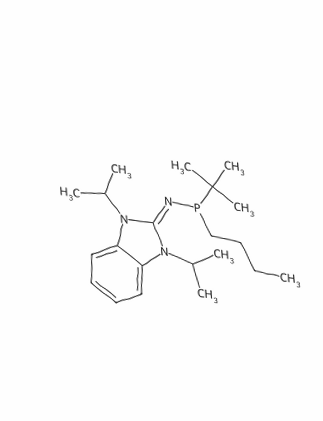 CCCCP(N=c1n(C(C)C)c2ccccc2n1C(C)C)C(C)(C)C